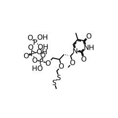 CO[C@H](CC(COP(=O)(O)OP(=O)(O)OP(=O)(O)O)OCSSC)n1cc(C)c(=O)[nH]c1=O